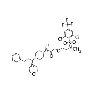 CN(CCOCC(=O)NC1CCC(C(CCc2ccccc2)N2CCOCC2)CC1)S(=O)(=O)c1c(Cl)cc(C(F)(F)F)cc1Cl